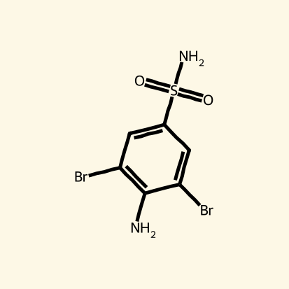 Nc1c(Br)cc(S(N)(=O)=O)cc1Br